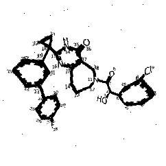 O=C([C@H](O)c1cccc(Cl)c1)N1CCCc2nc(C3(c4cccc(-c5ccc(F)cc5)c4)CC3)[nH]c(=O)c2C1